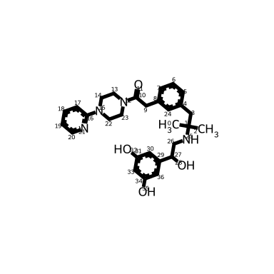 CC(C)(Cc1cccc(CC(=O)N2CCN(c3ccccn3)CC2)c1)NCC(O)c1cc(O)cc(O)c1